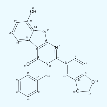 O=c1c2c(nc(-c3ccc4c(c3)OCO4)n1Cc1ccccc1)sc1c(O)cccc12